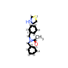 C1CSCN1.CC(=O)N(Cc1ccccc1)Cc1ccccc1